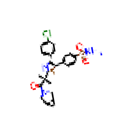 CC(C)(C(=O)N1CC2CC2C1)c1nc(-c2ccc(Cl)cc2)c(-c2ccc(S(N)(=O)=O)cc2)s1